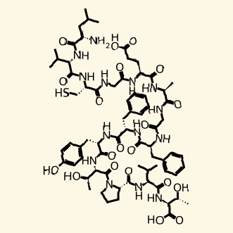 CC(C)C[C@H](N)C(=O)N[C@H](C(=O)N[C@@H](CS)C(=O)NCC(=O)N[C@@H](CCC(=O)O)C(=O)N[C@@H](C)C(=O)NCC(=O)N[C@@H](Cc1ccccc1)C(=O)N[C@@H](Cc1ccccc1)C(=O)N[C@@H](Cc1ccc(O)cc1)C(=O)N[C@H](C(=O)N1CCC[C@H]1C(=O)N[C@H](C(=O)N[C@H](C(=O)O)[C@@H](C)O)C(C)C)[C@@H](C)O)C(C)C